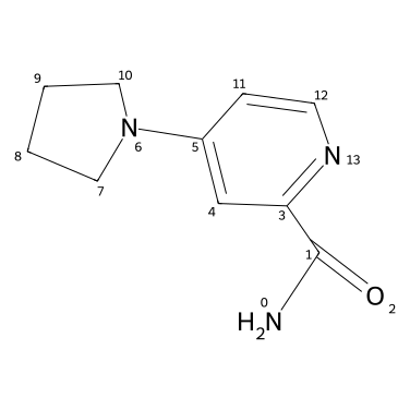 NC(=O)c1cc(N2CCCC2)ccn1